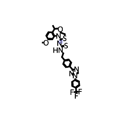 COc1ccc(C(C)C)c(N2C(=O)CS/C2=N\C(=S)NCCc2ccc(-c3ncn(-c4ccc(C(F)(F)F)cc4)n3)cc2)c1